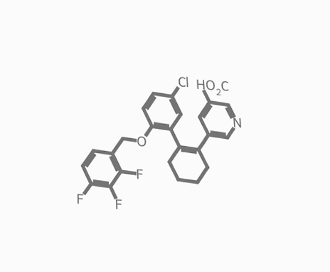 O=C(O)c1cncc(C2=C(c3cc(Cl)ccc3OCc3ccc(F)c(F)c3F)CCCC2)c1